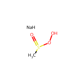 CS(=O)OO.[NaH]